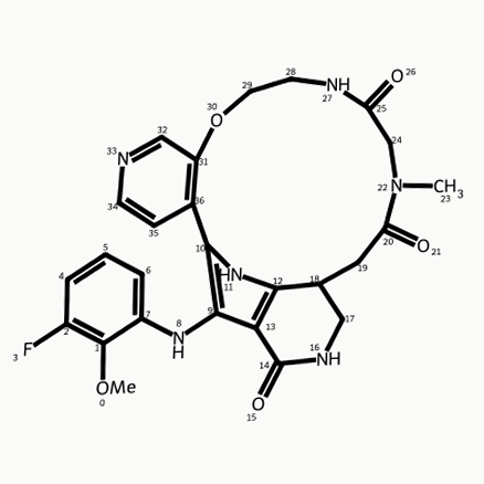 COc1c(F)cccc1Nc1c2[nH]c3c1C(=O)NCC3CC(=O)N(C)CC(=O)NCCOc1cnccc1-2